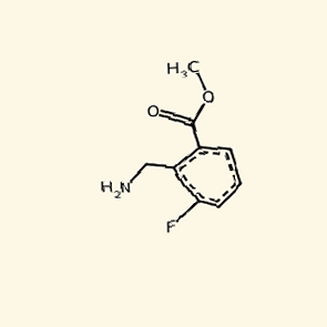 COC(=O)c1cccc(F)c1CN